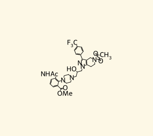 COC(=O)c1cccc(NC(C)=O)c1N1CCN(CC(O)Cn2nc(-c3ccc(C(F)(F)F)cc3)c3c2CCN(S(C)(=O)=O)C3)CC1